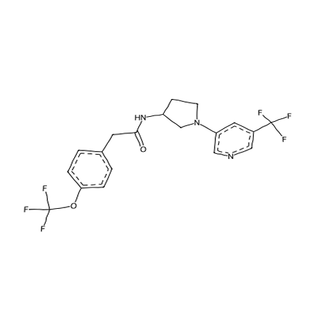 O=C(Cc1ccc(OC(F)(F)F)cc1)NC1CCN(c2cncc(C(F)(F)F)c2)C1